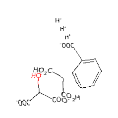 O=C(O)CC(=O)O.O=C([O-])C(O)C(=O)[O-].O=C([O-])c1ccccc1.[H+].[H+].[H+]